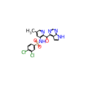 Cc1cnc(C(=O)c2ncnc3[nH]ccc23)c(NS(=O)(=O)c2ccc(Cl)c(Cl)c2)c1